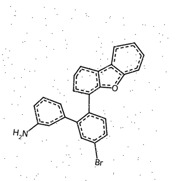 Nc1cccc(-c2cc(Br)ccc2-c2cccc3c2oc2ccccc23)c1